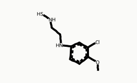 COc1ccc(NCCNS)cc1Cl